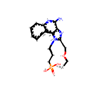 CCOCc1nc2c(N)nc3ccccc3c2n1CCCP(=O)(O)O